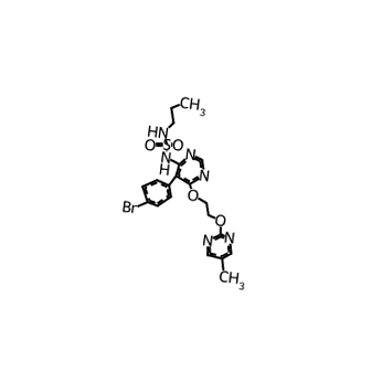 CCCNS(=O)(=O)Nc1ncnc(OCCOc2ncc(C)cn2)c1-c1ccc(Br)cc1